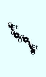 CCC1(CCOc2ccc(C(=O)Oc3ccc(CCOCC4(CC)COC4)cc3)cc2)COC1